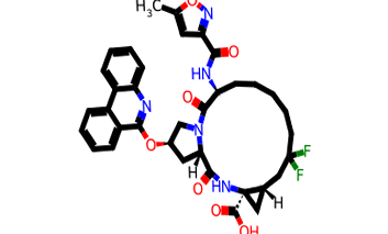 Cc1cc(C(=O)N[C@H]2CCCCCC(F)(F)C[C@@H]3C[C@@]3(C(=O)O)NC(=O)[C@@H]3C[C@@H](Oc4nc5ccccc5c5ccccc45)CN3C2=O)no1